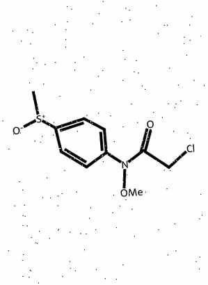 CON(C(=O)CCl)c1ccc([S+](C)[O-])cc1